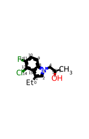 CCc1cn(C[C@@H](C)O)c2ccc(F)c(Cl)c12